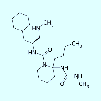 CCCCC1(NC(=O)NC)CCCCN1C(=O)N[C@H](CNC)CC1CCCCC1